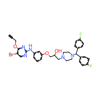 C#CCOc1nc(Nc2cccc(OCC(O)CN3CCN(C(c4ccc(F)cc4)c4ccc(F)cc4)CC3)c2)ncc1Br